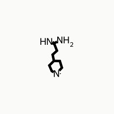 N=C(N)CCC1CC[N]CC1